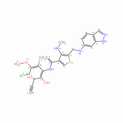 C#CC(O)/C(O)=C(NC(=C)c1csc(CNc2ccc3cn[nH]c3c2)c1NC)\C(Cl)=C(/CBr)OC